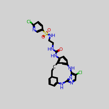 O=C(NCCNS(=O)(=O)c1ccc(Cl)nc1)Nc1ccc2cc1CCC1C=CC=C(C1)Nc1ncc(Cl)c(n1)N2